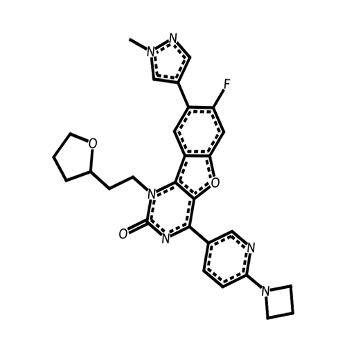 Cn1cc(-c2cc3c(cc2F)oc2c(-c4ccc(N5CCC5)nc4)nc(=O)n(CCC4CCCO4)c23)cn1